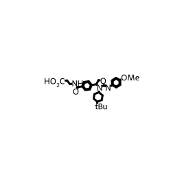 COc1ccc(/N=C2\OCC(c3ccc(C(=O)NCCC(=O)O)cc3)N2C2CCC(C(C)(C)C)CC2)cc1